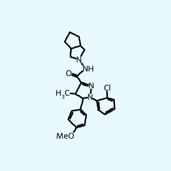 COc1ccc(C2C(C)C(C(=O)NN3CC4CCCC4C3)=NN2c2ccccc2Cl)cc1